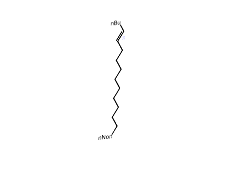 CCCC/C=C/CCCCCCCCCCCCCCCCCC